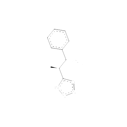 N[C@@H](c1ccccc1)[C@H](O)c1nnn[nH]1